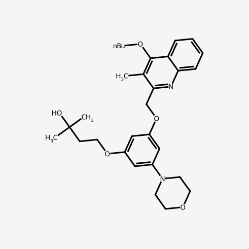 CCCCOc1c(C)c(COc2cc(OCCC(C)(C)O)cc(N3CCOCC3)c2)nc2ccccc12